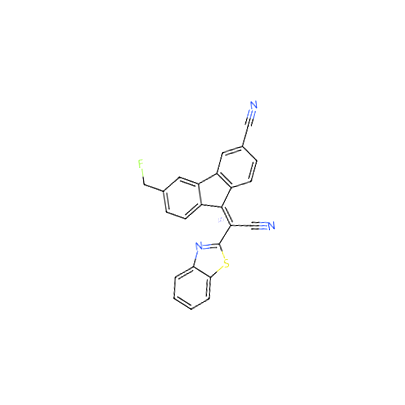 N#C/C(=C1\c2ccc(C#N)cc2-c2cc(CF)ccc21)c1nc2ccccc2s1